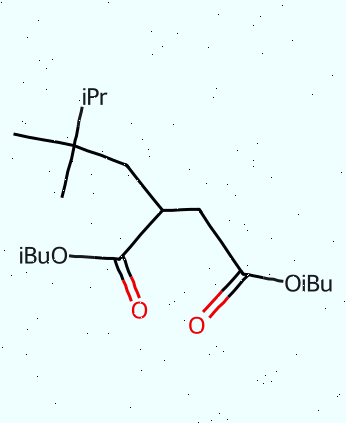 CC(C)COC(=O)CC(CC(C)(C)C(C)C)C(=O)OCC(C)C